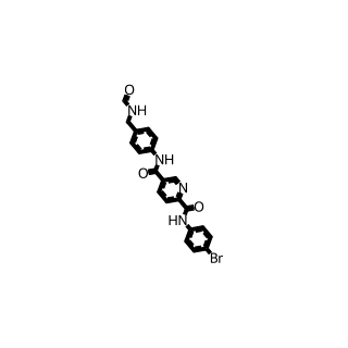 O=CNCc1ccc(NC(=O)c2ccc(C(=O)Nc3ccc(Br)cc3)nc2)cc1